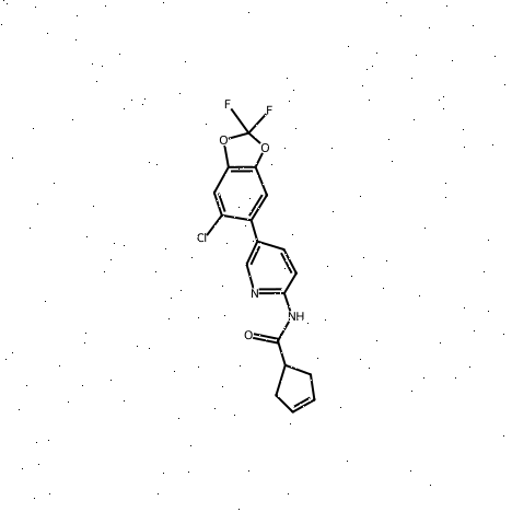 O=C(Nc1ccc(-c2cc3c(cc2Cl)OC(F)(F)O3)cn1)C1CC=CC1